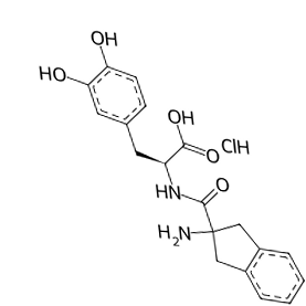 Cl.NC1(C(=O)N[C@@H](Cc2ccc(O)c(O)c2)C(=O)O)Cc2ccccc2C1